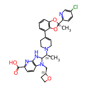 C[C@@H](C1Nc2nc(C(=O)O)ccc2N1C[C@@H]1CCO1)N1CC=C(c2cccc3c2O[C@](C)(c2ccc(Cl)cn2)O3)CC1